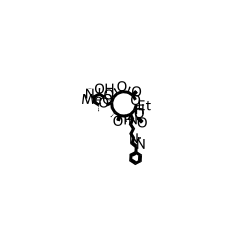 CC[C@H]1OC(=O)[C@H](C)C(=O)[C@H](C)[C@@H](OC2O[C@H](C)C[C@H](N(C)C)[C@H]2O)[C@@](C)(OC)C[C@@H](C)C(=O)[C@H](C)[C@@H]2[C@@H]1OC(=O)N2CCCn1cnc(-c2ccccc2)c1